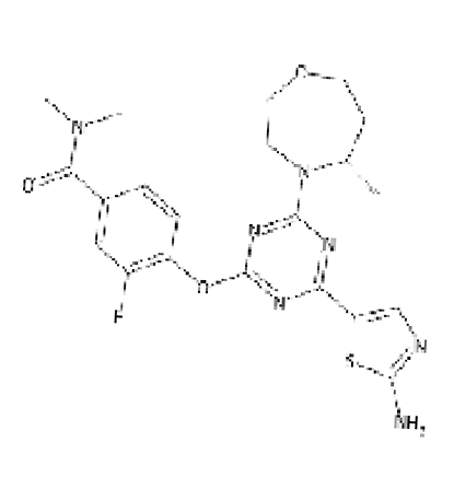 C[C@H]1CCOCCN1c1nc(Oc2ccc(C(=O)N(C)C)cc2F)nc(-c2cnc(N)s2)n1